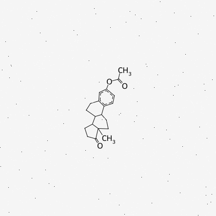 CC(=O)Oc1ccc2c(c1)CCC1C2CCC2(C)C(=O)CCC12